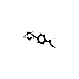 CCC(=O)c1ccc(-n2cncn2)cc1